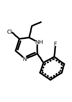 CCC1NC(c2ccccc2F)=NC=C1Cl